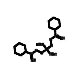 CCCCCCC[CH2][Sn]([CH2]CCCCCCC)([O]O[N+](=N)C1CCCCC1)[O]O[N+](=N)C1CCCCC1